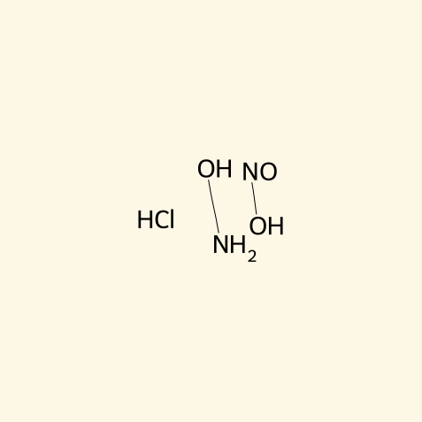 Cl.NO.O=NO